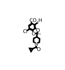 Cc1c(C(=O)O)cc(Cl)c2c1O[C@@](C)(C1CCN(C(=O)C3CC3)CC1)O2